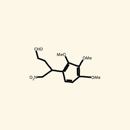 COc1ccc(C(CCC=O)C[N+](=O)[O-])c(OC)c1OC